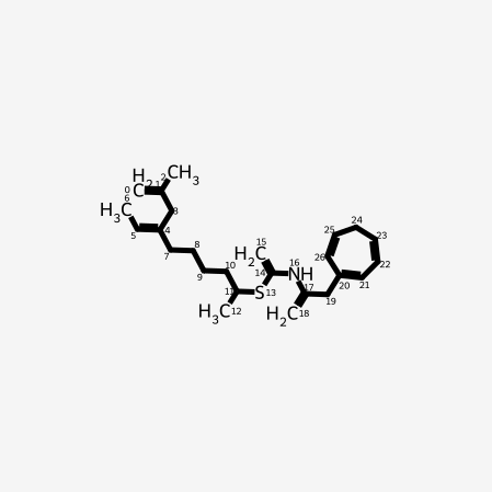 C=C(C)C/C(=C\C)CCCCC(C)SC(=C)NC(=C)CC1=CC=CCC=C1